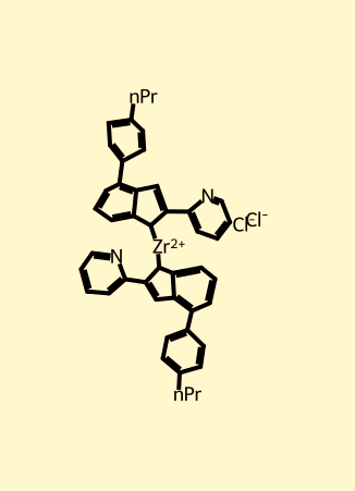 CCCc1ccc(-c2cccc3c2C=C(c2ccccn2)[CH]3[Zr+2][CH]2C(c3ccccn3)=Cc3c(-c4ccc(CCC)cc4)cccc32)cc1.[Cl-].[Cl-]